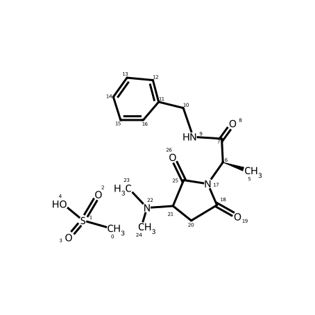 CS(=O)(=O)O.C[C@H](C(=O)NCc1ccccc1)N1C(=O)CC(N(C)C)C1=O